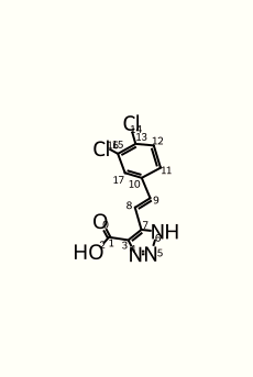 O=C(O)c1nn[nH]c1C=Cc1ccc(Cl)c(Cl)c1